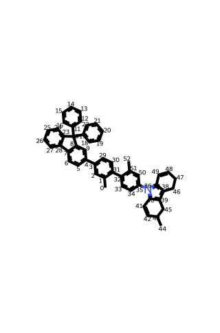 Cc1cc(-c2ccc3c(c2)C(c2ccccc2)(c2ccccc2)c2ccccc2-3)ccc1-c1ccc(-n2c3c(c4c2C=CC(C)C4)CCC=C3)cc1C